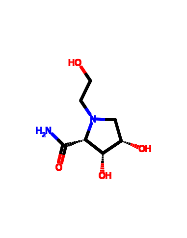 NC(=O)[C@H]1[C@@H](O)[C@@H](O)CN1CCO